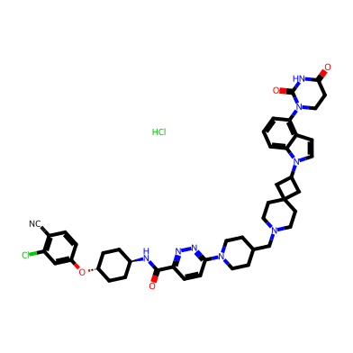 Cl.N#Cc1ccc(O[C@H]2CC[C@H](NC(=O)c3ccc(N4CCC(CN5CCC6(CC5)CC(n5ccc7c(N8CCC(=O)NC8=O)cccc75)C6)CC4)nn3)CC2)cc1Cl